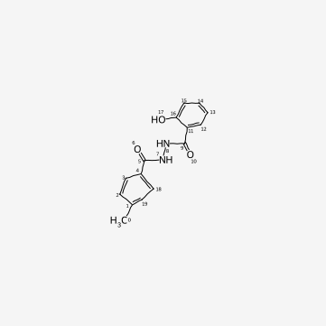 Cc1ccc(C(=O)NNC(=O)c2ccccc2O)cc1